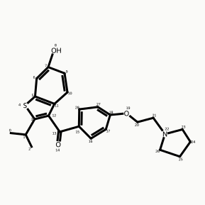 CC(C)c1sc2cc(O)ccc2c1C(=O)c1ccc(OCCN2CCCC2)cc1